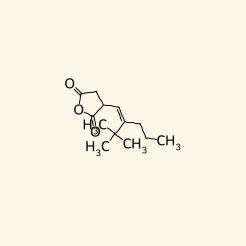 CCCC(=CC1CC(=O)OC1=O)C(C)(C)C